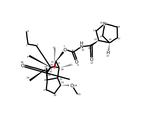 CCC[C@]1(C)C[C@@H](OC(=O)NC(=O)[C@H]2CN3CC[C@@H]2C3)[C@@]2(C)C3[C@H](OC)CCC3(CC[C@H]2C)[C@@H](C)C1=O